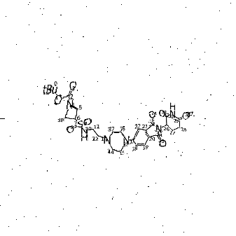 CC(C)(C)OC(=O)N1CC(S(=O)(=O)NCCN2CCN(c3ccc4c(c3)C(=O)N(C3CCC(=O)NC3=O)C4=O)CC2)C1